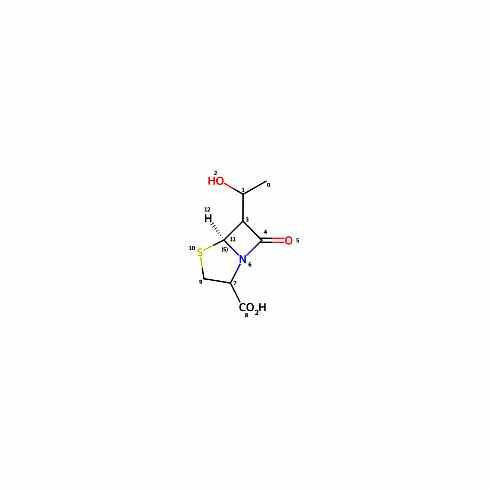 CC(O)C1C(=O)N2C(C(=O)O)CS[C@@H]12